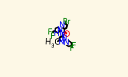 Cc1cc(NC(=O)c2ccc(Br)nc2N2CCC(=C(F)F)CC2)nc(N2CCC(F)(F)CC2)n1